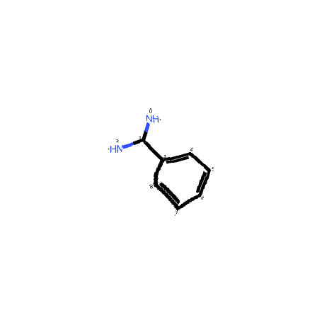 [NH]C([NH])c1ccccc1